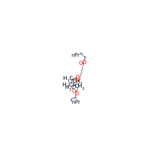 CCC/C=C\C/C=C\COC(=O)CCCCCCCC(CCCCCCCC(=O)OC/C=C\C/C=C\CCC)OC(=O)CC(C)(C)CC(C)CN(C)C